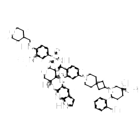 CC(C)c1ccccc1[C@@H]1CC[C@](C)(O)CN1C1CC2(CCN(c3ccc(C(=O)NS(=O)(=O)c4ccc(NCC5CCOCC5)c([N+](=O)[O-])c4)c(N4c5cc6cc[nH]c6nc5O[C@H]5COCC[C@@H]54)c3)CC2)C1